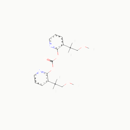 COCC(C)(C)c1cccnc1OC(=O)Oc1ncccc1C(C)(C)COC